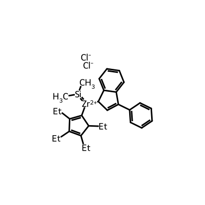 CCC1=C(CC)C(CC)[C]([Zr+2]([CH]2C=C(c3ccccc3)c3ccccc32)=[Si](C)C)=C1CC.[Cl-].[Cl-]